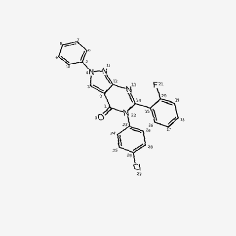 O=c1c2cn(-c3ccccc3)nc2nc(-c2ccccc2F)n1-c1ccc(Cl)cc1